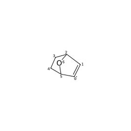 [C]1=CC2CCC1O2